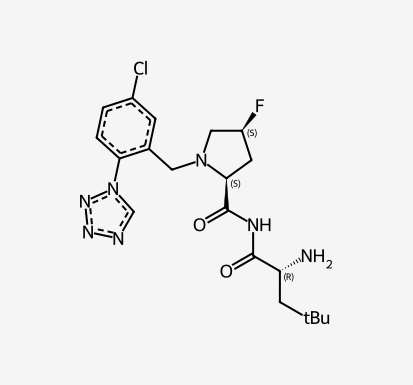 CC(C)(C)C[C@@H](N)C(=O)NC(=O)[C@@H]1C[C@H](F)CN1Cc1cc(Cl)ccc1-n1cnnn1